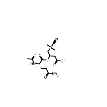 CC(=O)N[C@@H](CCC(N)=O)C(=O)OC(CC(=O)[O-])C[N+](C)(C)C#N